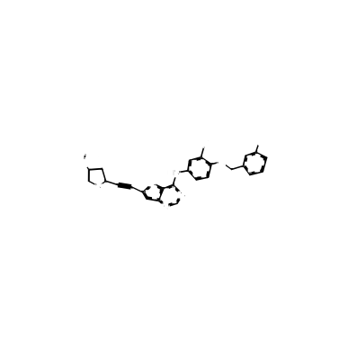 CCOC(=O)OC1CNC(C#Cc2cc3ncnc(Nc4ccc(OCc5cccc(F)c5)c(Cl)c4)c3s2)C1